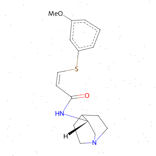 COc1cccc(S/C=C\C(=O)N[C@H]2CN3CCC2CC3)c1